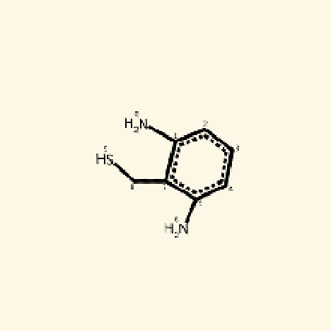 Nc1cccc(N)c1CS